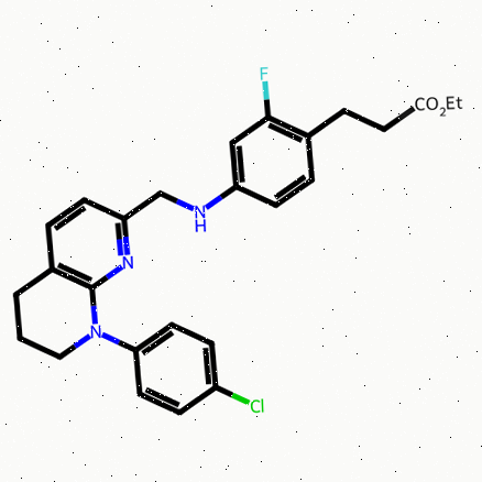 CCOC(=O)CCc1ccc(NCc2ccc3c(n2)N(c2ccc(Cl)cc2)CCC3)cc1F